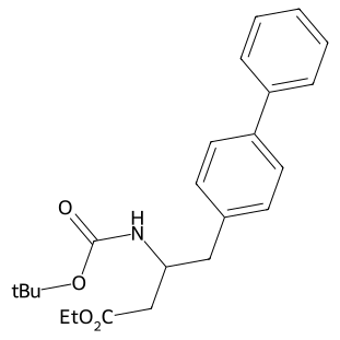 CCOC(=O)CC(Cc1ccc(-c2ccccc2)cc1)NC(=O)OC(C)(C)C